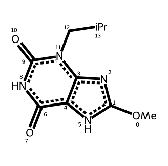 COc1nc2c([nH]1)c(=O)[nH]c(=O)n2CC(C)C